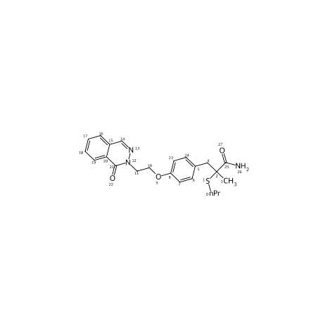 CCCSC(C)(Cc1ccc(OCCn2ncc3ccccc3c2=O)cc1)C(N)=O